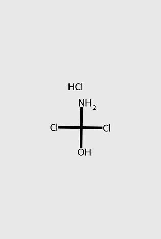 Cl.NC(O)(Cl)Cl